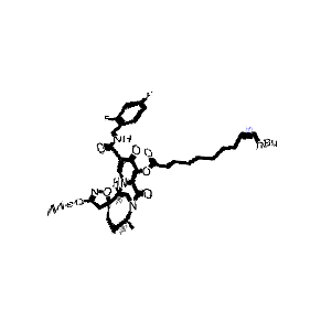 CCCC/C=C\CCCCCCCC(=O)Oc1c2n(cc(C(=O)NCc3ccc(F)cc3F)c1=O)[C@@H]1CN(C2=O)[C@@H](C)CC[C@]12CC(OC)=NO2